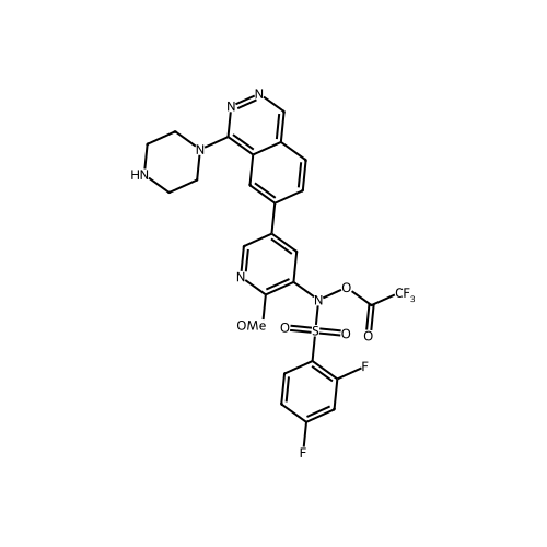 COc1ncc(-c2ccc3cnnc(N4CCNCC4)c3c2)cc1N(OC(=O)C(F)(F)F)S(=O)(=O)c1ccc(F)cc1F